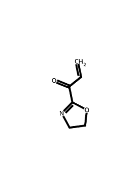 C=CC(=O)C1=NCCO1